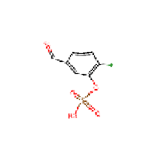 O=Cc1ccc(F)c(OS(=O)(=O)O)c1